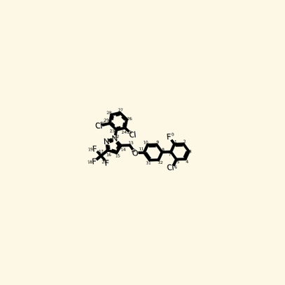 FC1=CC=CC(Cl)C1C1C=CC(OCc2cc(C(F)(F)F)nn2-c2c(Cl)cccc2Cl)=CC1